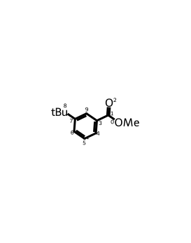 COC(=O)c1c[c]cc(C(C)(C)C)c1